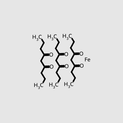 CCCC(=O)CC(=O)CCC.CCCC(=O)CC(=O)CCC.CCCC(=O)CC(=O)CCC.[Fe]